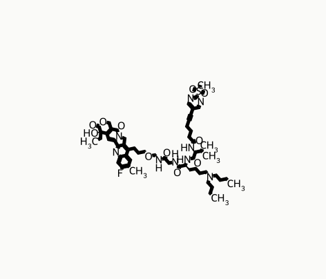 CCCCN(CCCC)CCCC[C@H](NC(=O)[C@@H](NC(=O)CCCC#Cc1cnc(S(C)(=O)=O)nc1)C(C)C)C(=O)NCC(=O)NCOCCCc1c2c(nc3cc(F)c(C)cc13)-c1cc3c(c(=O)n1C2)COC(=O)[C@]3(O)CC